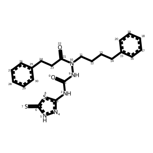 O=C(Nc1n[nH]c(=S)s1)NN(CCCCc1ccccc1)C(=O)CCc1ccccc1